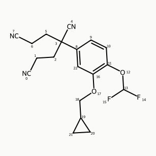 N#CCCC(C#N)(CCC#N)c1ccc(OC(F)F)c(OCC2CC2)c1